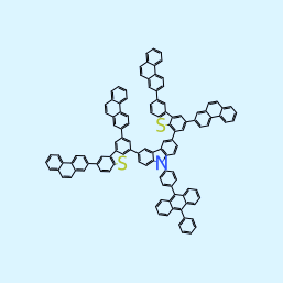 c1ccc(-c2c3ccccc3c(-c3ccc(-n4c5ccc(-c6cc(-c7ccc8c(ccc9ccccc98)c7)cc7c6sc6ccc(-c8ccc9c(ccc%10ccccc%109)c8)cc67)cc5c5cc(-c6cc(-c7ccc8c(ccc9ccccc98)c7)cc7c6sc6ccc(-c8ccc9c(ccc%10ccccc%109)c8)cc67)ccc54)cc3)c3ccccc23)cc1